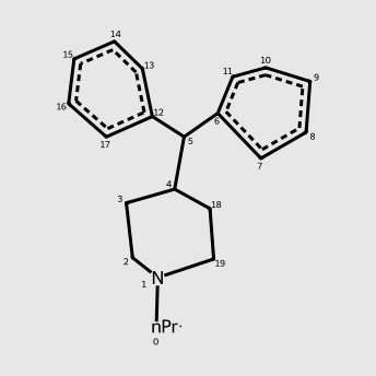 CC[CH]N1CCC(C(c2ccccc2)c2ccccc2)CC1